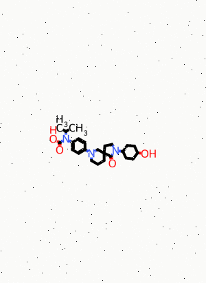 CC(C)N(C(=O)O)c1ccc(N2CCCC3(CCN(C4CCC(O)CC4)C3=O)C2)cc1